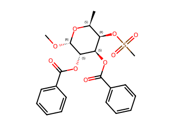 CO[C@@H]1O[C@@H](C)[C@@H](OS(C)(=O)=O)[C@@H](OC(=O)c2ccccc2)[C@@H]1OC(=O)c1ccccc1